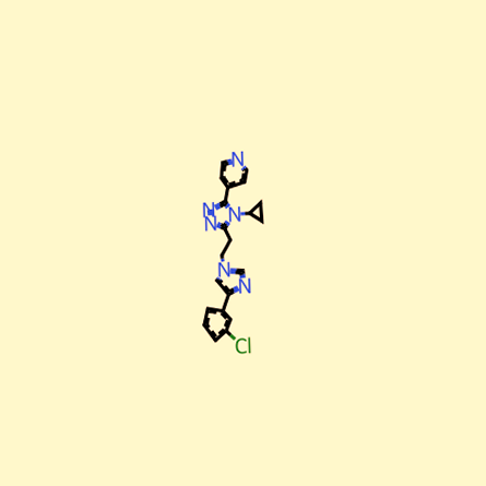 Clc1cccc(-c2cn(CCc3nnc(-c4ccncc4)n3C3CC3)cn2)c1